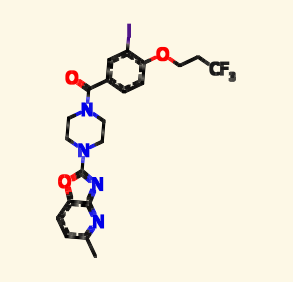 Cc1ccc2oc(N3CCN(C(=O)c4ccc(OCCC(F)(F)F)c(I)c4)CC3)nc2n1